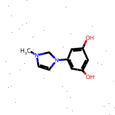 CN1C=CN(c2cc(O)cc(O)c2)C1